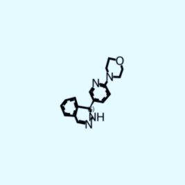 C1=NN[C@H](c2ccc(N3CCOCC3)nc2)c2ccccc21